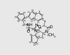 CN(C(=O)[CH]Cc1ccc2ccccc2c1)C(Cc1ccccc1)c1nc(C(=O)NCc2ccccc2)no1